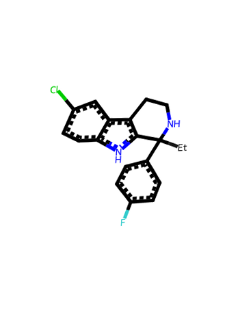 CCC1(c2ccc(F)cc2)NCCc2c1[nH]c1ccc(Cl)cc21